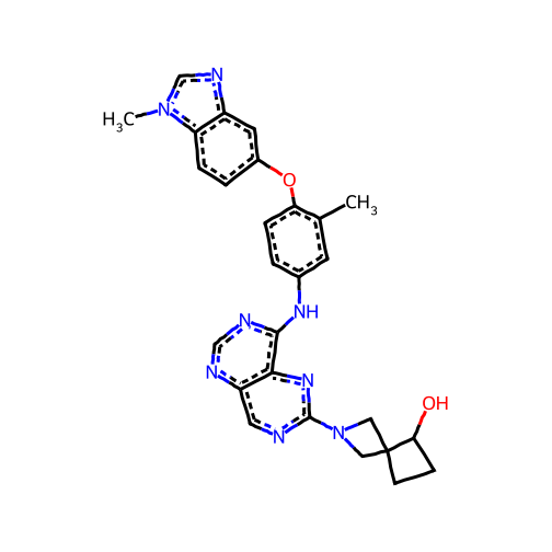 Cc1cc(Nc2ncnc3cnc(N4CC5(CCC5O)C4)nc23)ccc1Oc1ccc2c(c1)ncn2C